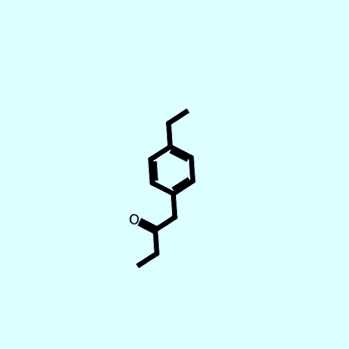 CCC(=O)Cc1ccc(CC)cc1